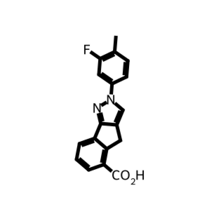 Cc1ccc(-n2cc3c(n2)-c2cccc(C(=O)O)c2C3)cc1F